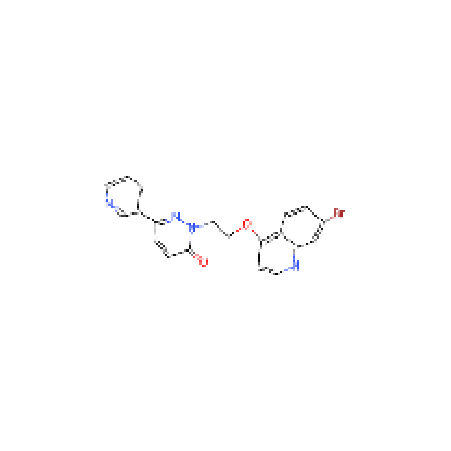 O=c1ccc(-c2cccnc2)nn1CCOc1ccnc2cc(Br)ccc12